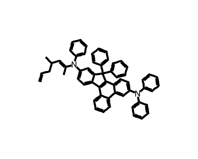 C=CCC(C)/C=C(\C)N(c1ccccc1)c1ccc2c(c1)C(c1ccccc1)(c1ccccc1)c1c-2c2ccccc2c2cc(N(c3ccccc3)c3ccccc3)ccc12